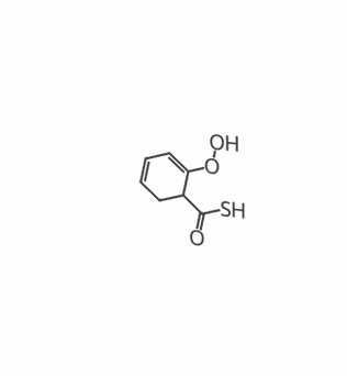 O=C(S)C1CC=CC=C1OO